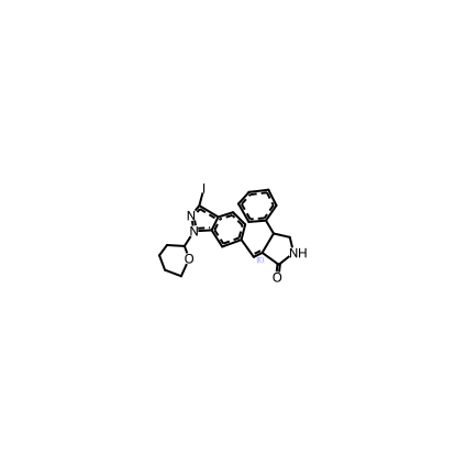 O=C1NCC(c2ccccc2)/C1=C\c1ccc2c(I)nn(C3CCCCO3)c2c1